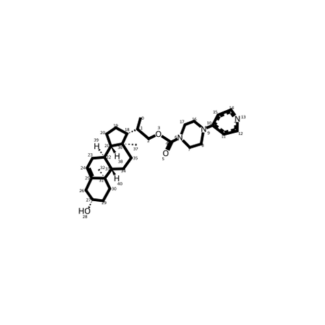 CC(COC(=O)N1CCN(c2ccncc2)CC1)[C@H]1CC[C@H]2[C@@H]3CC=C4C[C@@H](O)CC[C@]4(C)[C@H]3CC[C@]12C